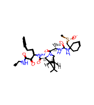 C#CCCC(NC(=O)[C@@H]1[C@@H]2[C@H](CN1C(=O)[C@@H](NC(=O)NC1(C[S+](C)[O-])CCCCC1)C(C)(C)C)C2(C)C)C(=O)C(=O)NCC#C